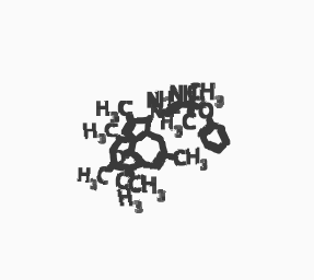 CC1=CC2C(=O)C3(C=C(C)C(N(N)/C=C(\N)C(C)(C)Oc4ccccc4)C3C1)[C@H](C)CC(C)C2(C)C